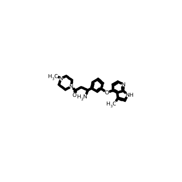 Cc1c[nH]c2nccc(Oc3cccc(C(N)CC(=O)N4CCN(C)CC4)c3)c12